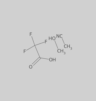 CC#N.CO.O=C(O)C(F)(F)F